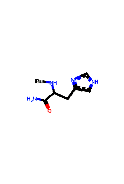 CCC(C)NC(Cc1c[nH]cn1)C(N)=O